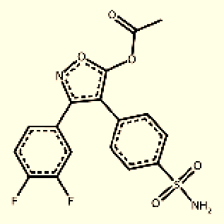 CC(=O)Oc1onc(-c2ccc(F)c(F)c2)c1-c1ccc(S(N)(=O)=O)cc1